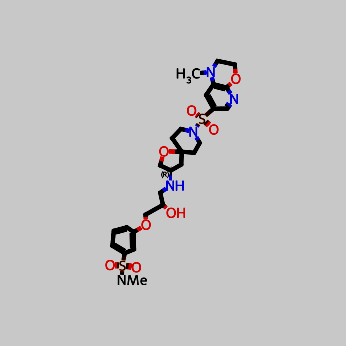 CNS(=O)(=O)c1cccc(OCC(O)CN[C@H]2COC3(CCN(S(=O)(=O)c4cnc5c(c4)N(C)CCO5)CC3)C2)c1